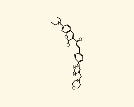 CCN(CC)c1ccc2cc(C(=O)C=Cc3ccc(-n4cc(CN5CCOCC5)nn4)cc3)c(=O)oc2c1